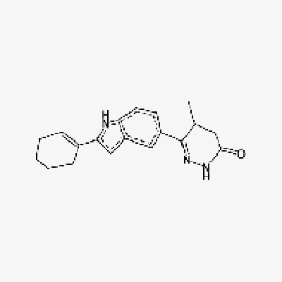 CC1CC(=O)NN=C1c1ccc2[nH]c(C3=CCCCC3)cc2c1